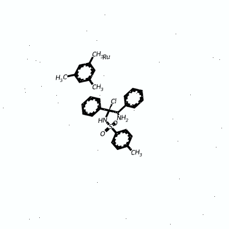 Cc1cc(C)cc(C)c1.Cc1ccc(S(=O)(=O)N[C@](Cl)(c2ccccc2)[C@H](N)c2ccccc2)cc1.[Ru]